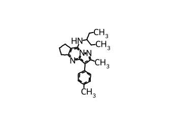 CCC(CC)Nc1c2c(nc3c(-c4ccc(C)cc4)c(C)nn13)CCC2